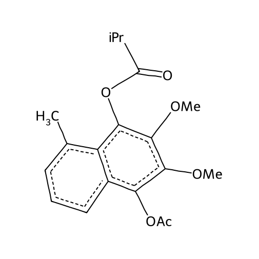 COc1c(OC)c(OC(=O)C(C)C)c2c(C)cccc2c1OC(C)=O